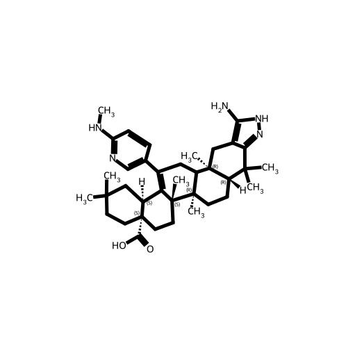 CNc1ccc(C2=C3[C@@H]4CC(C)(C)CC[C@]4(C(=O)O)CC[C@@]3(C)[C@]3(C)CC[C@H]4C(C)(C)c5n[nH]c(N)c5C[C@]4(C)C3C2)cn1